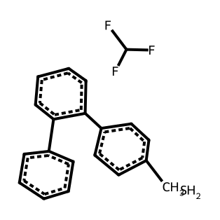 Cc1ccc(-c2ccccc2-c2ccccc2)cc1.FC(F)F.S